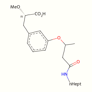 CCCCCCCNC(=O)CC(C)Oc1cccc(C[C@H](OC)C(=O)O)c1